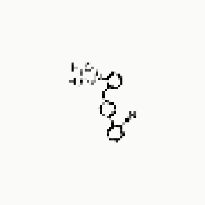 CCN(CC)c1ccccc1Cc1ccc(-c2ccccc2C#N)cc1